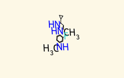 CNc1ccc(N/C(C)=C\C(=N)C2CC2)c(F)c1